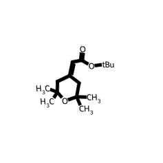 CC(C)(C)OC(=O)C=C1CC(C)(C)OC(C)(C)C1